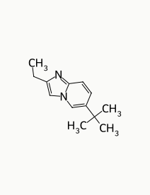 CCc1cn2cc(C(C)(C)C)ccc2n1